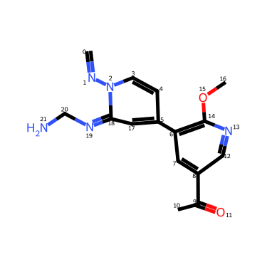 C=Nn1ccc(-c2cc(C(C)=O)cnc2OC)c/c1=N/CN